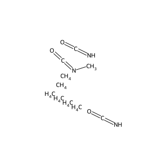 C.C.C.C.C.C.CN=C=O.N=C=O.N=C=O